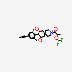 CC#Cc1cc(C)c(C2C(=O)CC3(CCN(C(=O)C(C)OC(F)F)CC3)CC2=O)c(C)c1